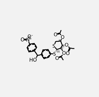 CC(=O)O[C@@H]1[C@@H](OC(C)=O)[C@H](Sc2ccc(C(O)c3ccc([N+](=O)[O-])cc3)cc2)SC[C@H]1OC(C)=O